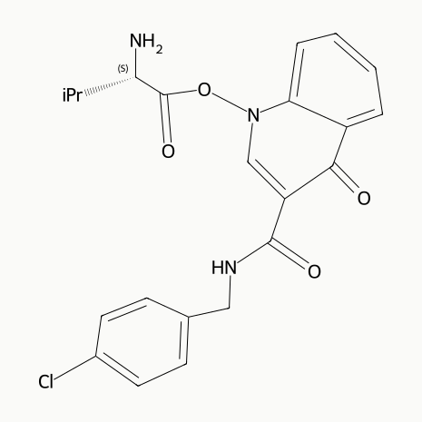 CC(C)[C@H](N)C(=O)On1cc(C(=O)NCc2ccc(Cl)cc2)c(=O)c2ccccc21